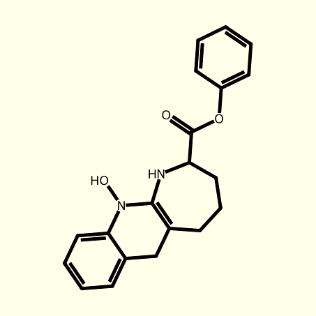 O=C(Oc1ccccc1)C1CCCC2=C(N1)N(O)c1ccccc1C2